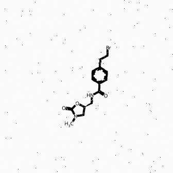 CN1C[C@H](CNC(=O)c2ccc(CCBr)cc2)OC1=O